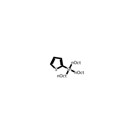 CCCCCCC[CH2][Sn]([CH2]CCCCCCC)([CH2]CCCCCCC)[c]1cccs1